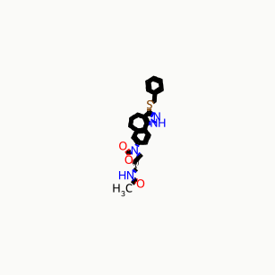 CC(=O)NC[C@H]1CN(c2ccc3c(c2)CCCc2c(SCc4ccccc4)n[nH]c2-3)C(=O)O1